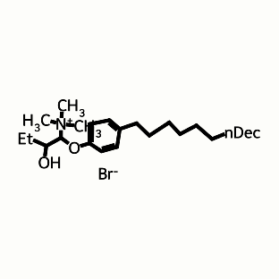 CCCCCCCCCCCCCCCCc1ccc(OC(C(O)CC)[N+](C)(C)C)cc1.[Br-]